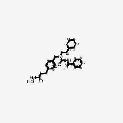 O=C(C=Cc1ccc(CN(CCC2=CCCCC2)C(=O)NC(=O)c2ccccc2)cc1)NO